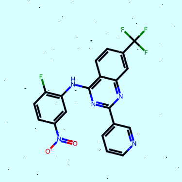 O=[N+]([O-])c1ccc(F)c(Nc2nc(-c3cccnc3)nc3cc(C(F)(F)F)ccc23)c1